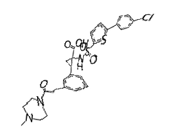 CN1CCN(C(=O)Cc2cccc(C3CC3(NS(=O)(=O)c3ccc(-c4ccc(Cl)cc4)s3)C(=O)O)c2)CC1